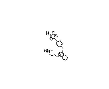 COC(=O)c1ccc(Cc2cn(CC3CCNCC3)c3ccccc23)cc1